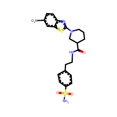 NS(=O)(=O)c1ccc(CCNC(=O)C2CCCN(c3nc4ccc([N+](=O)[O-])cc4s3)C2)cc1